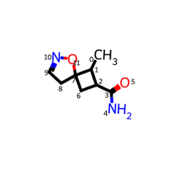 CC1C(C(N)=O)CC12CC=NO2